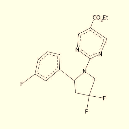 CCOC(=O)c1cnc(N2CC(F)(F)CC2c2cccc(F)c2)nc1